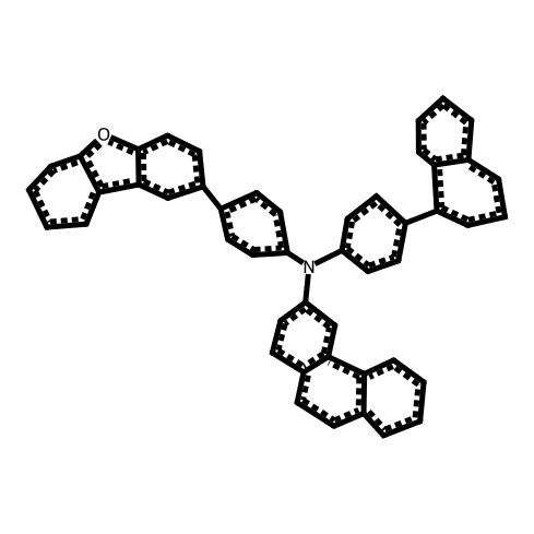 c1ccc2c(-c3ccc(N(c4ccc(-c5ccc6oc7ccccc7c6c5)cc4)c4ccc5ccc6ccccc6c5c4)cc3)cccc2c1